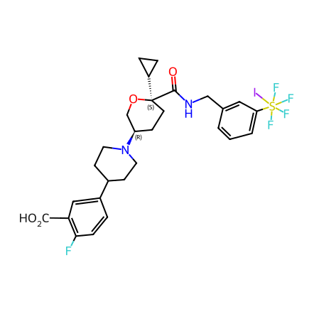 O=C(O)c1cc(C2CCN([C@@H]3CC[C@@](C(=O)NCc4cccc(S(F)(F)(F)(F)I)c4)(C4CC4)OC3)CC2)ccc1F